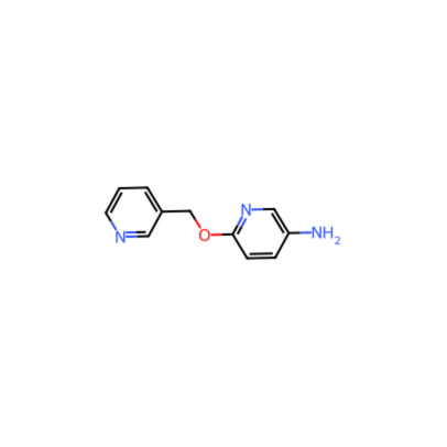 Nc1ccc(OCc2cccnc2)nc1